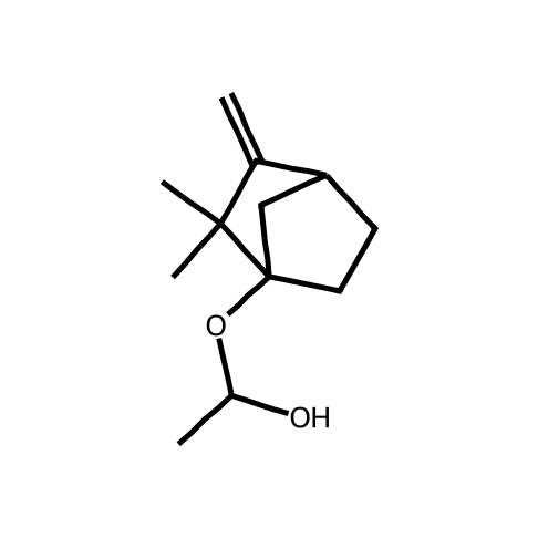 C=C1C2CCC(OC(C)O)(C2)C1(C)C